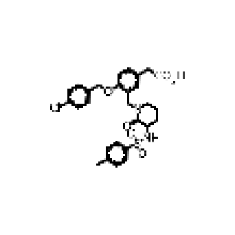 Cc1ccc(S(=O)(=O)N[C@@H]2CCCN(Cc3cc(CC(=O)O)ccc3OCc3ccc(Cl)cc3)C2=O)cc1